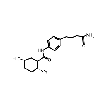 CC(C)[C@@H]1CC[C@@H](C)CC1C(=O)Nc1ccc(CCCC(N)=O)cc1